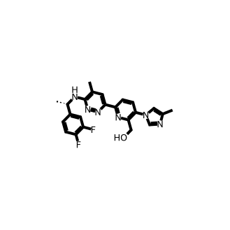 Cc1cn(-c2ccc(-c3cc(C)c(N[C@@H](C)c4ccc(F)c(F)c4)nn3)nc2CO)cn1